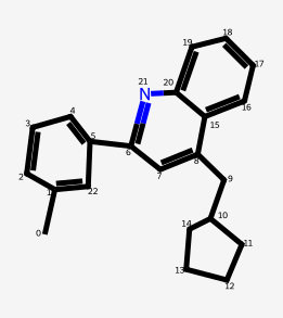 Cc1cccc(-c2cc(CC3CCCC3)c3ccccc3n2)c1